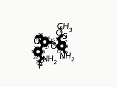 CCOC(=S)Cc1ccc(CN)cc1OCc1cc(-c2cccc(C(N)CF)c2)c2occc2c1